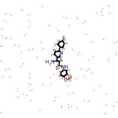 Nc1c(C(=O)Nc2ccc3c(c2)OCO3)sc2nc(-c3ccc(F)cc3)ccc12